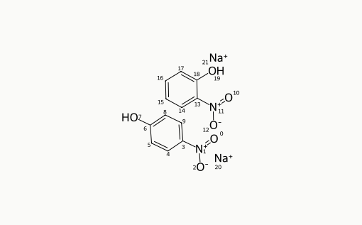 O=[N+]([O-])c1ccc(O)cc1.O=[N+]([O-])c1ccccc1O.[Na+].[Na+]